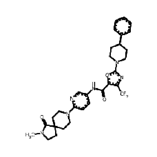 CN1CCC2(CCN(c3ccc(NC(=O)c4oc(N5CCC(c6ccccc6)CC5)nc4C(F)(F)F)cn3)CC2)C1=O